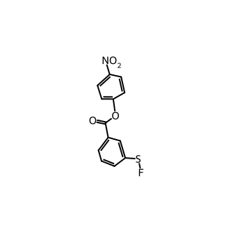 O=C(Oc1ccc([N+](=O)[O-])cc1)c1cccc(SF)c1